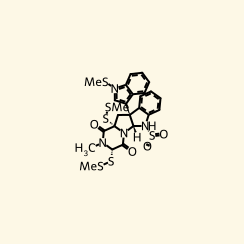 CSS[C@H]1C(=O)N2[C@H]3N([SH](=O)=O)c4ccccc4[C@@]3(c3cn(SC)c4ccccc34)C[C@]2(SSC)C(=O)N1C